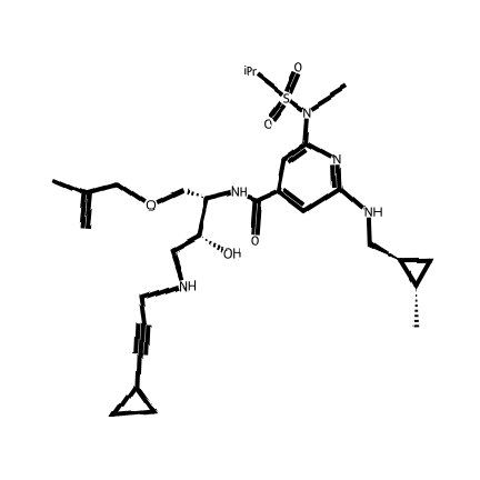 C=C(C)COC[C@H](NC(=O)c1cc(NC[C@H]2C[C@@H]2C)nc(N(C)S(=O)(=O)C(C)C)c1)[C@H](O)CNCC#CC1CC1